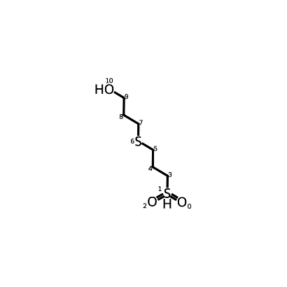 O=[SH](=O)CCCSCCCO